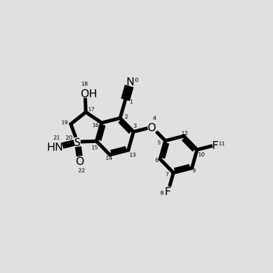 N#Cc1c(Oc2cc(F)cc(F)c2)ccc2c1C(O)CS2(=N)=O